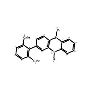 COc1cccc(OC)c1-c1ccc2c(c1)N(C(C)C)c1ccccc1N2C(C)C